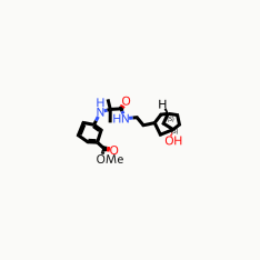 COC(=O)c1cccc(NC(C)(C)C(=O)NCCC2C[C@@H]3CC[C@@](O)(C2)C3)c1